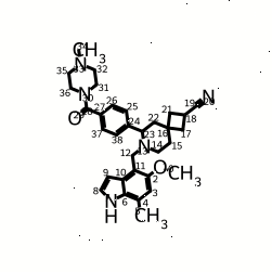 COc1cc(C)c2[nH]ccc2c1CN1CCC2(CC(C#N)C2)CC1c1ccc(C(=O)N2CCN(C)CC2)cc1